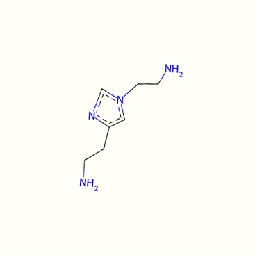 NCCc1cn(CCN)cn1